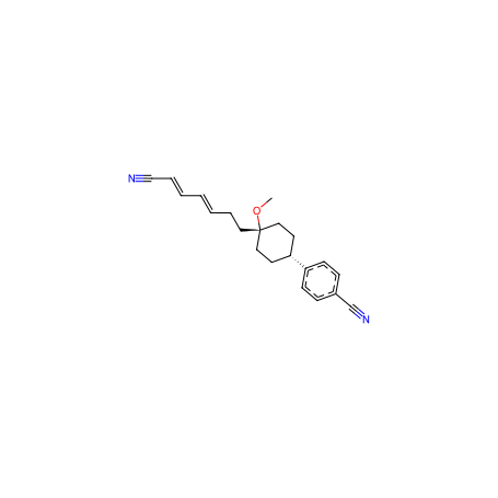 CO[C@]1(CCC=CC=CC#N)CC[C@H](c2ccc(C#N)cc2)CC1